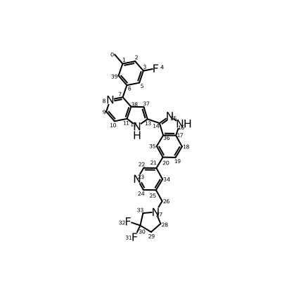 Cc1cc(F)cc(-c2nccc3[nH]c(-c4n[nH]c5ccc(-c6cncc(CN7CCC(F)(F)C7)c6)cc45)cc23)c1